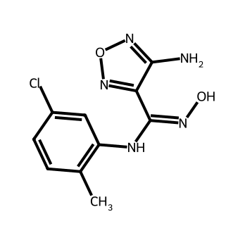 Cc1ccc(Cl)cc1N/C(=N/O)c1nonc1N